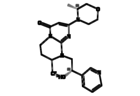 C[C@@H]1COCCN1c1cc(=O)n2c(n1)N(C[C@@H](O)c1cccnc1)C(C(F)(F)F)CC2